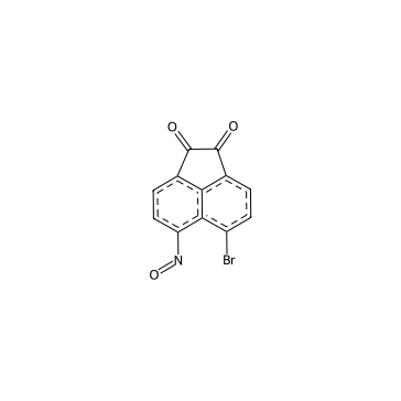 O=Nc1ccc2c3c(ccc(Br)c13)C(=O)C2=O